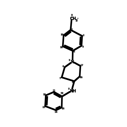 [CH2]c1ccc(N2CCC(Nc3ccccc3)CC2)cc1